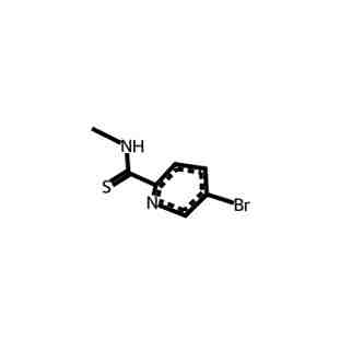 CNC(=S)c1ccc(Br)cn1